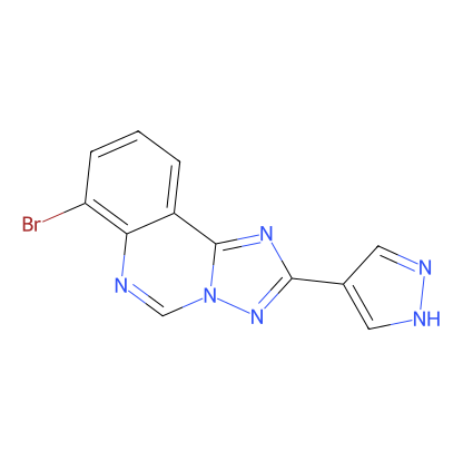 Brc1cccc2c1ncn1nc(-c3cn[nH]c3)nc21